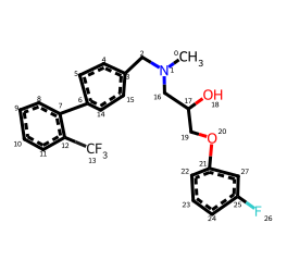 CN(Cc1ccc(-c2ccccc2C(F)(F)F)cc1)CC(O)COc1cccc(F)c1